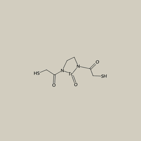 O=C(CS)[N]1CC[N](C(=O)CS)[Tc]1=[O]